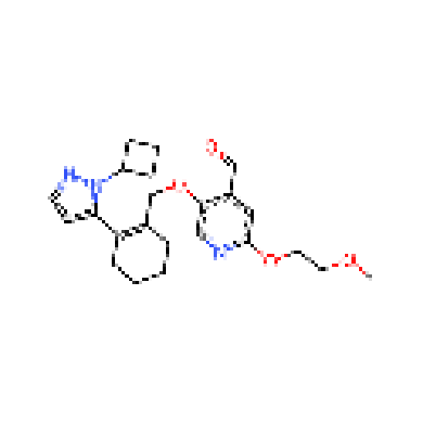 COCCOc1cc(C=O)c(OCC2=C(c3ccnn3C3CCC3)CCCC2)cn1